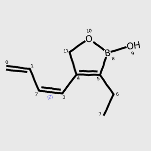 C=C/C=C\C1=C(CC)B(O)OC1